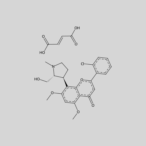 COc1cc(OC)c2c(=O)cc(-c3ccccc3Cl)oc2c1[C@@H]1CCN(C)[C@H]1CO.O=C(O)C=CC(=O)O